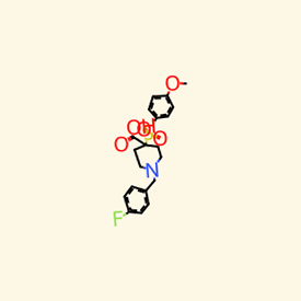 COc1ccc(S(=O)(=O)C2(C(=O)O)CCN(Cc3ccc(F)cc3)CC2)cc1